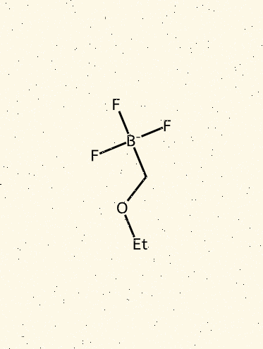 CCOC[B-](F)(F)F